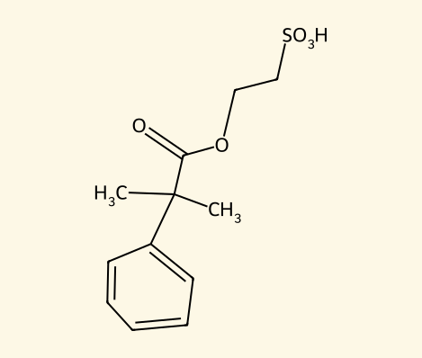 CC(C)(C(=O)OCCS(=O)(=O)O)c1ccccc1